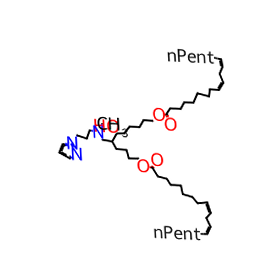 CCCCC/C=C\C/C=C\CCCCCCCC(=O)OCCCCCC(O)C(CCCCOC(=O)CCCCCCC/C=C\C/C=C\CCCCC)CN(C)CCCn1cccn1